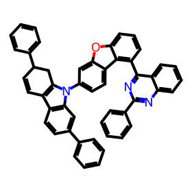 C1=CC(c2ccccc2)Cc2c1c1ccc(-c3ccccc3)cc1n2-c1ccc2c(c1)oc1cccc(-c3nc(-c4ccccc4)nc4ccccc34)c12